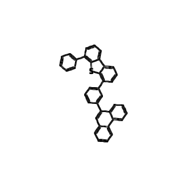 c1ccc(-c2cccc3c2sc2c(-c4cccc(-c5cc6ccccc6c6ccccc56)c4)cccc23)cc1